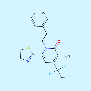 N#Cc1c(C(F)(F)CF)cc(-c2nccs2)n(CCc2ccccc2)c1=O